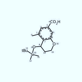 Cc1cc(C(=O)O)cc2c1C(O[Si](C)(C)C(C)(C)C)CCO2